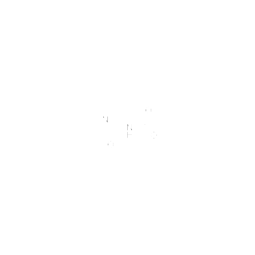 COC(=O)NCN(C)C(C)=O